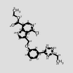 CCOC(=O)c1cnc(Cl)c2c(COc3cccc(-c4nnn(CC)n4)c3)csc12